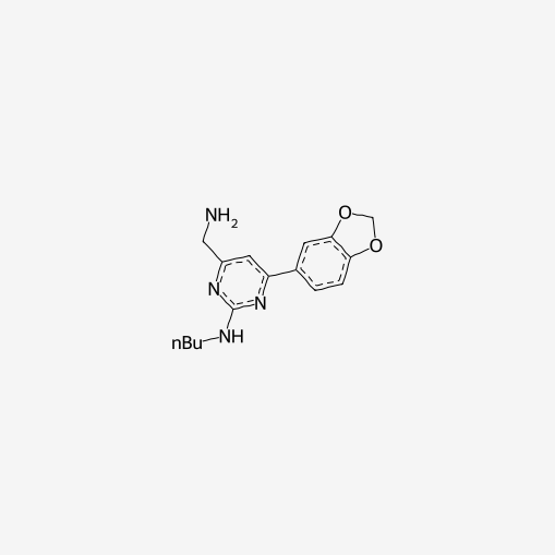 CCCCNc1nc(CN)cc(-c2ccc3c(c2)OCO3)n1